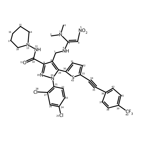 CN(C)C(=C[N+](=O)[O-])NCc1c(C(=O)NN2CCCCC2)nn(-c2ccc(Cl)cc2Cl)c1-c1ccc(C#Cc2ccc(C(F)(F)F)cc2)s1